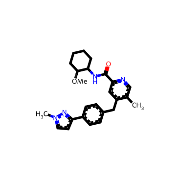 COC1CCCCC1NC(=O)c1cc(Cc2ccc(-c3ccn(C)n3)cc2)c(C)cn1